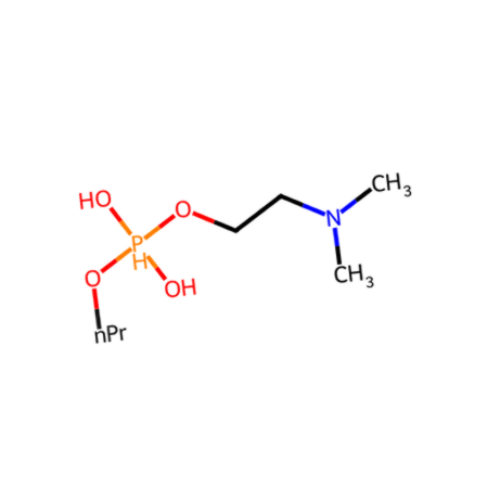 CCCO[PH](O)(O)OCCN(C)C